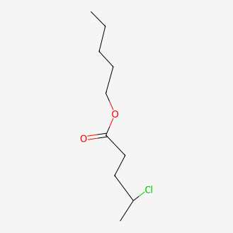 CCCCCOC(=O)CCC(C)Cl